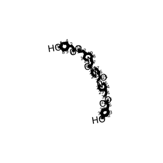 O=C(Cc1ccc(O)cc1)OCCC1CCN(CC(=O)N2CCN(C(=O)CN3CCC(CCOC(=O)Cc4ccc(O)cc4)CC3)CC2)CC1